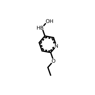 CCOc1ccc(BO)cn1